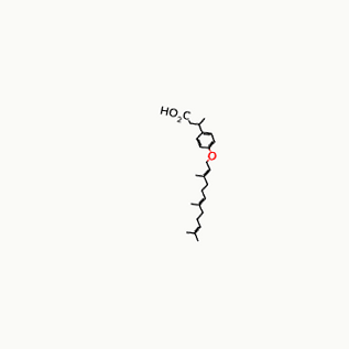 CC(C)=CCC/C(C)=C/CC/C(C)=C/COc1ccc(C(C)CC(=O)O)cc1